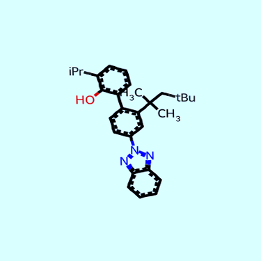 CC(C)c1cccc(-c2ccc(-n3nc4ccccc4n3)cc2C(C)(C)CC(C)(C)C)c1O